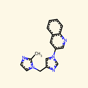 Cc1nccn1Cc1cn(-c2cnc3ccccc3c2)cn1